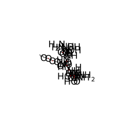 CCCOCCOCCOCCOCCC(=O)N1C[C@H](C(=O)NCCNC(=O)O[C@@H]([C@@H]2OC(C(=O)O)=C[C@H](NC(=N)N)[C@H]2NC(C)=O)[C@H](O)CO)[C@H](C(=O)NCCNC(=O)O[C@@H]([C@@H]2OC(C(=O)O)=C[C@H](NC(=N)N)[C@H]2C)[C@H](O)CO)C1